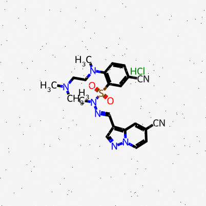 CN(C)CCN(C)c1ccc(C#N)cc1S(=O)(=O)N(C)N=Cc1cnn2ccc(C#N)cc12.Cl